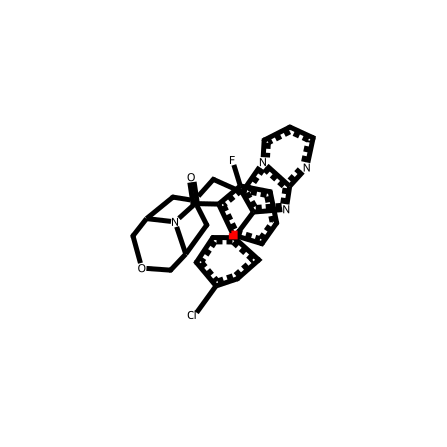 O=C(c1ccccc1F)N1C2COCC1CN(Cc1c(-c3ccc(Cl)cc3)nc3ncccn13)C2